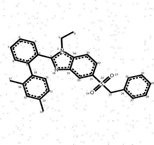 CCn1c(-c2ccccc2-c2ccc(C)cc2C)nc2cc(S(=O)(=O)Cc3ccccc3)ccc21